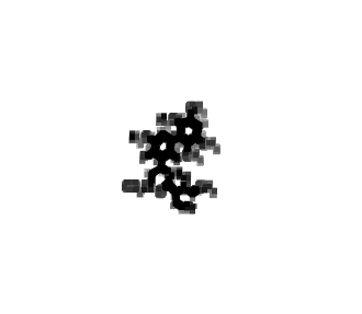 C=CNC(CC(C)C)C(=O)N[C@@H](CC(=O)OCC)c1c(F)c(C)cc(-c2c(C)c(C)cc(C)c2C)c1F